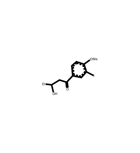 CCC(O)CC(=O)c1ccc(OC)c(I)c1